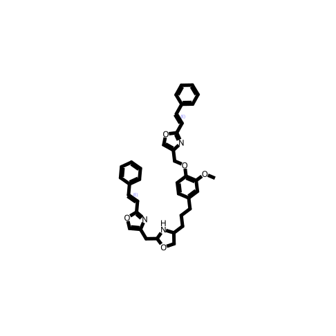 COc1cc(CCCC2COC(Cc3coc(/C=C/c4ccccc4)n3)N2)ccc1OCc1coc(/C=C/c2ccccc2)n1